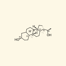 C[C@@H](O)[C@H]1CC[C@H]2[C@@H]3CCC4C[C@H](O)CC[C@]4(C)[C@H]3CC[C@]12C